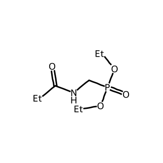 CCOP(=O)(CNC(=O)CC)OCC